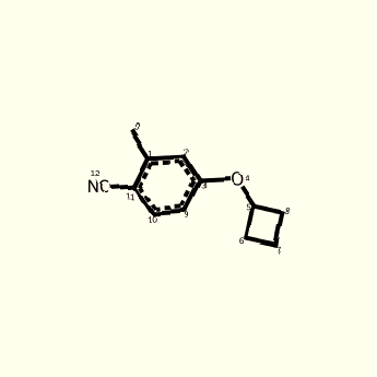 Cc1cc(OC2CCC2)ccc1C#N